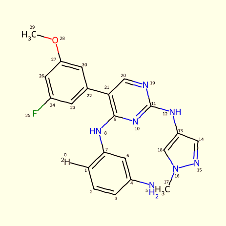 [2H]c1ccc(N)cc1Nc1nc(Nc2cnn(C)c2)ncc1-c1cc(F)cc(OC)c1